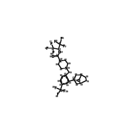 O=C(OC(C(F)(F)F)C(F)(F)F)N1CCN(Cc2ccc(C(F)(F)F)cc2N2CC3CCC(C2)O3)CC1